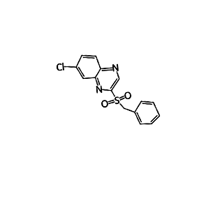 O=S(=O)(Cc1ccccc1)c1cnc2ccc(Cl)cc2n1